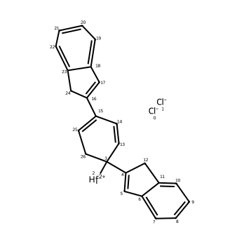 [Cl-].[Cl-].[Hf+2][C]1(C2=Cc3ccccc3C2)C=CC(C2=Cc3ccccc3C2)=CC1